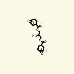 CC12CCC(C(=O)OCC(O)COC(=O)C3CCC4(C)O[C@H]4C3)CC1O2